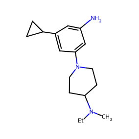 CCN(C)C1CCN(c2cc(N)cc(C3CC3)c2)CC1